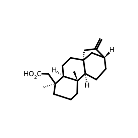 C=C1C[C@@]23CC[C@@H]4[C@](C)(CC(=O)O)CCC[C@@]4(C)[C@@H]2CC[C@@H]1C3